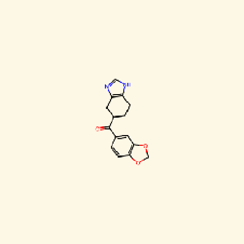 O=C(c1ccc2c(c1)OCO2)C1CCc2[nH]cnc2C1